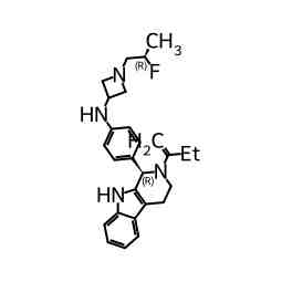 C=C(CC)N1CCc2c([nH]c3ccccc23)[C@H]1c1ccc(NC2CN(C[C@@H](C)F)C2)cc1